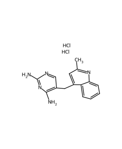 Cc1cc(Cc2cnc(N)nc2N)c2ccccc2n1.Cl.Cl